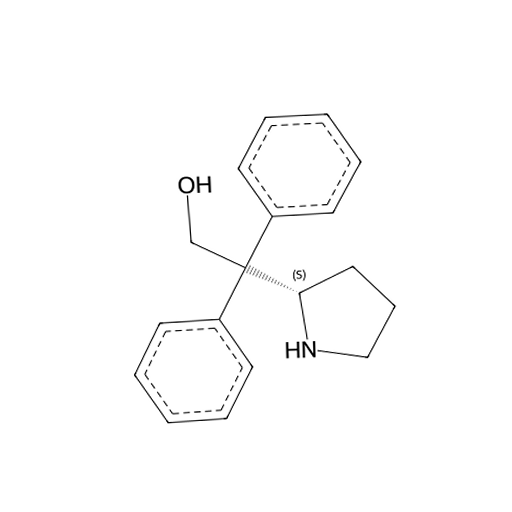 OCC(c1ccccc1)(c1ccccc1)[C@@H]1CCCN1